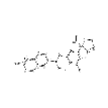 CCC(Oc1cc(F)cc(C2(OC)CCOC2C)c1)c1ccc2[nH]c(=O)ccc2c1